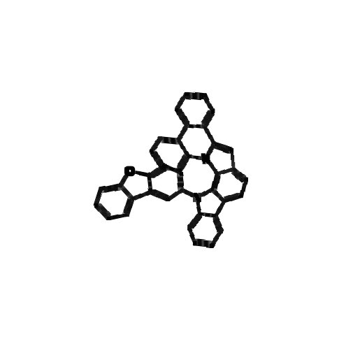 c1ccc2c(c1)oc1ccc(-n3c4ccccc4c4ccc5cc6c7ccccc7c7ccccc7n6c5c43)cc12